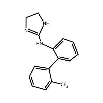 FC(F)(F)c1ccccc1-c1ccccc1NC1=NCCN1